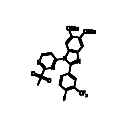 COc1cc2nc(-c3ccc(F)c(C(F)(F)F)c3)n(-c3ccnc(S(C)(=O)=O)n3)c2cc1OC